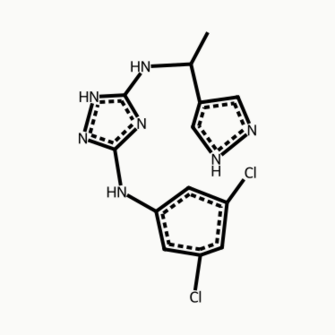 CC(Nc1nc(Nc2cc(Cl)cc(Cl)c2)n[nH]1)c1cn[nH]c1